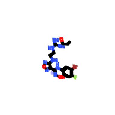 CCC(=O)NC(=N)NCCNc1nonc1/C(=N/O)Nc1ccc(F)c(Br)c1